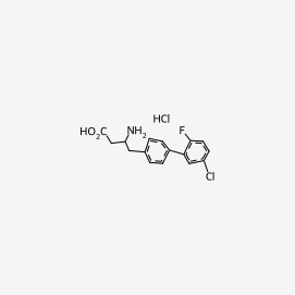 Cl.NC(CC(=O)O)Cc1ccc(-c2cc(Cl)ccc2F)cc1